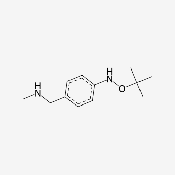 CNCc1ccc(NOC(C)(C)C)cc1